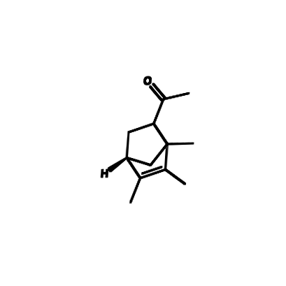 CC(=O)C1C[C@@H]2CC1(C)C(C)=C2C